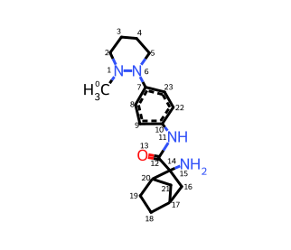 CN1CCCCN1c1ccc(NC(=O)C2(N)CC3CCC2C3)cc1